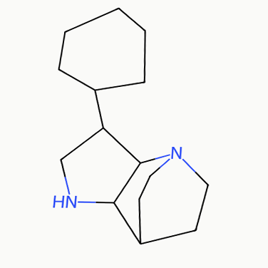 C1CCC(C2CNC3C4CCN(CC4)C23)CC1